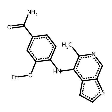 CCOc1cc(C(N)=O)ccc1Nc1c(C)ncc2sccc12